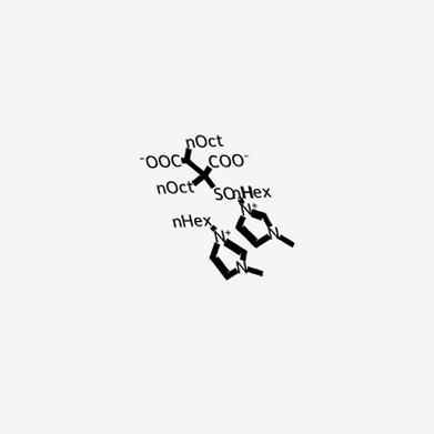 CCCCCCCCC(C(=O)[O-])C(CCCCCCCC)(C(=O)[O-])S(=O)(=O)O.CCCCCC[n+]1ccn(C)c1.CCCCCC[n+]1ccn(C)c1